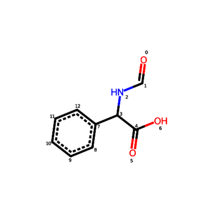 O=CNC(C(=O)O)c1ccccc1